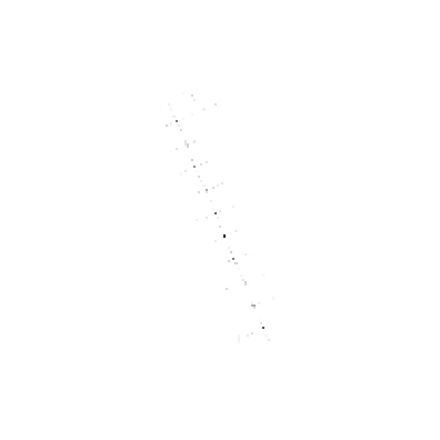 C[Si](C)(Cl)C(F)(F)C(F)(F)C(F)(F)C(F)(F)C(F)(F)C(F)(F)C(F)(F)C(F)(F)C(F)(F)C(F)(F)F